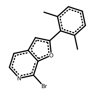 Cc1cccc(C)c1-c1cc2ccnc(Br)c2o1